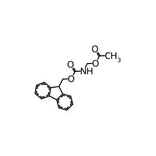 CC(=O)OCNC(=O)OCC1c2ccccc2-c2ccccc21